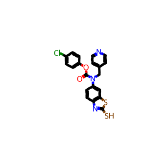 O=C(Oc1ccc(Cl)cc1)N(Cc1ccncc1)c1ccc2nc(S)sc2c1